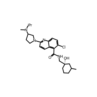 CC1CCC[C@@](O)(CNC(=O)c2c(Cl)ccc3nc(N4CCC(N(C)C(C)C)C4)ccc23)C1